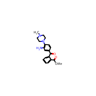 COC(=O)c1ccccc1C(=O)c1ccc(N2CCN(C)CC2)c(N)c1